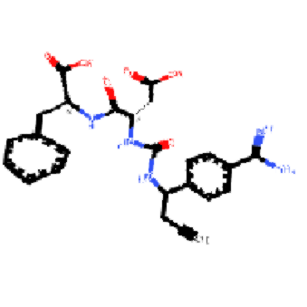 C#CCC(NC(=O)N[C@@H](CC(=O)O)C(=O)N[C@@H](Cc1ccccc1)C(=O)O)c1ccc(C(=N)N)cc1